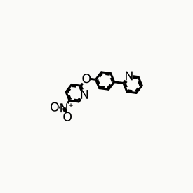 O=[N+]([O-])c1ccc(Oc2ccc(-c3ccccn3)cc2)nc1